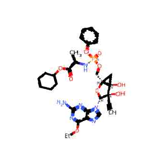 C#C[C@]1(O)[C@H](n2cnc3c(OCC)nc(N)nc32)O[C@@]2(CO[P@@](=O)(NC(C)C(=O)OC3CCCCC3)Oc3ccccc3)C[C@@]21O